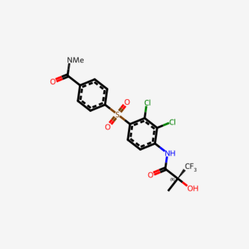 CNC(=O)c1ccc(S(=O)(=O)c2ccc(NC(=O)[C@@](C)(O)C(F)(F)F)c(Cl)c2Cl)cc1